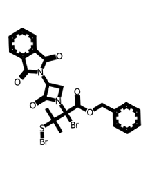 CC(C)(SBr)C(Br)(C(=O)OCc1ccccc1)N1CC(N2C(=O)c3ccccc3C2=O)C1=O